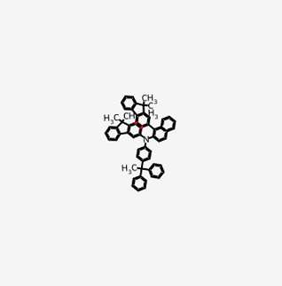 CC1(C)c2ccccc2-c2cc(N(c3ccc(C(C)(c4ccccc4)c4ccccc4)cc3)c3ccc4ccccc4c3-c3ccc4c(c3)C(C)(C)c3ccccc3-4)ccc21